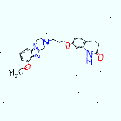 COc1cccc2c1nc1n2CCN(CCCOc2ccc3c(c2)NC(=O)CC3)C1